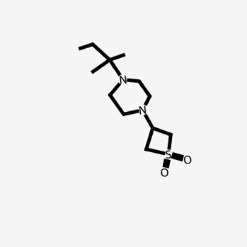 CCC(C)(C)N1CCN(C2CS(=O)(=O)C2)CC1